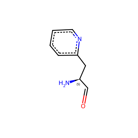 N[C@H](C=O)Cc1ccccn1